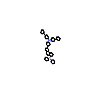 c1ccc(-c2ccc(N(c3ccc(-c4ccccc4)cc3)c3ccc(-c4ccc5ccc6c(N(c7ccccc7)c7ccccc7)cccc6c5c4)cc3)cc2)cc1